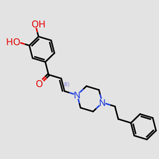 O=C(/C=C/N1CCN(CCc2ccccc2)CC1)c1ccc(O)c(O)c1